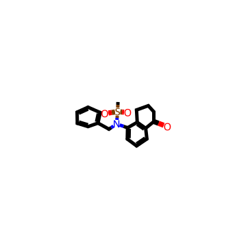 CS(=O)(=O)N(Cc1ccccc1)c1cccc2c1CCCC2=O